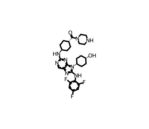 O=C([C@H]1CC[C@H](Nc2ncc3nc(Nc4c(F)cc(F)cc4F)n([C@H]4CC[C@@H](O)CC4)c3n2)CC1)N1CCNCC1